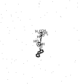 CC(C)(C)OC(=O)NCCC[C@@H](NC(=O)OCc1cccc2c1Cc1ccccc1-2)C(=O)O